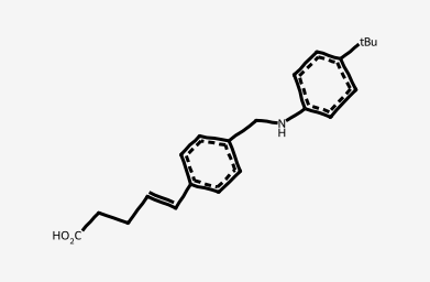 CC(C)(C)c1ccc(NCc2ccc(C=CCCC(=O)O)cc2)cc1